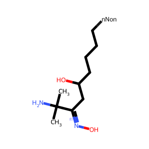 CCCCCCCCCCCCCC(O)C/C(=N\O)C(C)(C)N